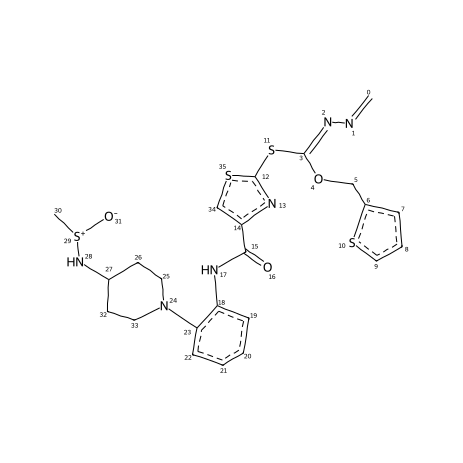 C=N/N=C(\OCc1cccs1)Sc1nc(C(=O)Nc2ccccc2N2CCC(N[S+](C)[O-])CC2)cs1